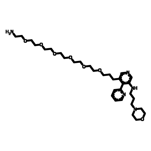 NCCOCCOCCOCCOCCOCCOCCCc1[c]ncc(NCCCN2CCOCC2)c1-c1ccccn1